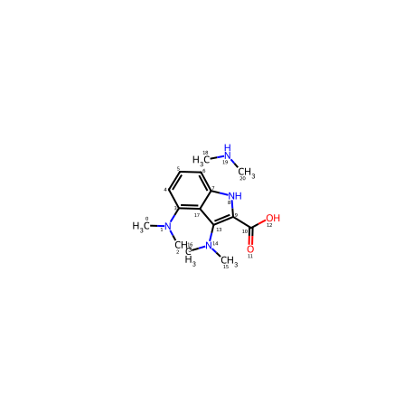 CN(C)c1cccc2[nH]c(C(=O)O)c(N(C)C)c12.CNC